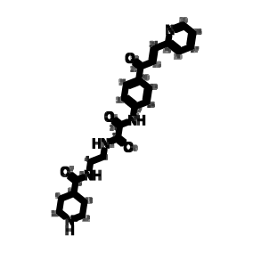 O=C(NCCNC(=O)C1CCNCC1)C(=O)Nc1ccc(C(=O)C=Cc2ccccn2)cc1